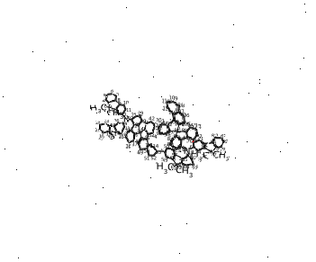 CC1(C)c2ccccc2-c2ccc(N(c3ccc4sc5ccccc5c4c3)c3cccc4c3-c3ccccc3C43c4ccccc4-c4c3ccc3ccc(-c5ccc6c(c5)C(C)(C)c5cccc(N(c7ccc8c(c7)C(C)(C)c7ccccc7-8)c7cccc8c7-c7ccccc7C87c8ccccc8-c8c7ccc7ccccc87)c5-6)cc43)cc21